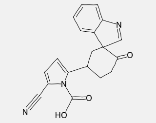 N#Cc1ccc(C2CCC(=O)C3(C=Nc4ccccc43)C2)n1C(=O)O